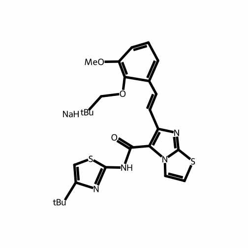 COc1cccc(C=Cc2nc3sccn3c2C(=O)Nc2nc(C(C)(C)C)cs2)c1OCC(C)(C)C.[NaH]